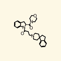 O=C([C@@H]1Cc2ccccc2N1C(=O)CCN1CCC2(CCc3ccccc32)CC1)N1CCOCC1